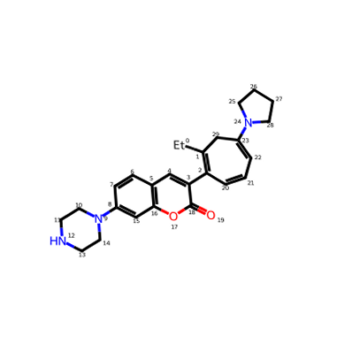 CCC1=C(c2cc3ccc(N4CCNCC4)cc3oc2=O)C=CC=C(N2CCCC2)C1